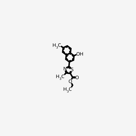 CCOC(=O)c1sc(-c2cc(O)c3ccc(C)cc3c2)nc1C